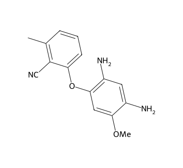 COc1cc(Oc2cccc(C)c2C#N)c(N)cc1N